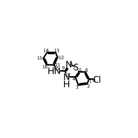 Clc1ccc2c(c1)SN=C(Nc1ccccc1)N2